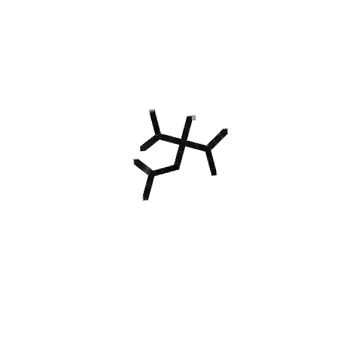 [CH2]C(CC(C)C)(C(C)C)C(C)C